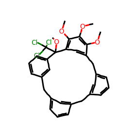 COc1c2cc(c(OC)c1OC)C(OC)(C(Cl)(Cl)Cl)c1cccc(c1)Cc1cccc(c1)Cc1cccc(c1)C2